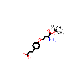 CC(C)(C)OC(=O)C(N)CCOc1ccc(CCC(=O)O)cc1